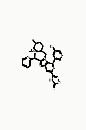 CCOC(c1ccccn1)c1nc2cc(-c3noc(=O)[nH]3)nc(-c3cncc(Cl)c3)c2n1CC1CCC(C)CC1